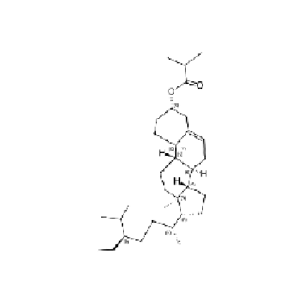 CC[C@H](CC[C@@H](C)[C@H]1CC[C@H]2[C@@H]3CC=C4C[C@@H](OC(=O)C(C)C)CC[C@]4(C)[C@H]3CC[C@]12C)C(C)C